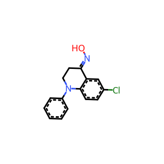 ON=C1CCN(c2ccccc2)c2ccc(Cl)cc21